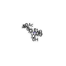 CC/C(=C(/c1ccc(O)cc1)c1ccc(OCC(CN(C)C)OC(C)=O)cc1)c1ccc2c(c1)OCO2